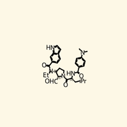 CCN(C(=O)c1ccc2cc[nH]c2c1)[C@@H]1CCN(C(=O)[C@H](CC(C)C)NC(=O)c2ccc(N(C)C)cc2)[C@@H]1C=O